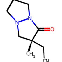 C[C@@]1(CC#N)CN2CCCN2C1=O